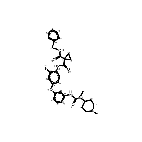 CN1CCC(N(C)C(=O)Nc2cc(Oc3ccc(NC(=O)C4(C(=O)OCc5ccccc5)CC4)c(F)c3)ccn2)CC1